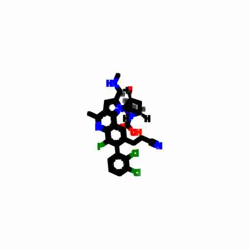 CN[C@H](C)c1cc2c(C)nc3c(F)c(-c4cccc(Cl)c4Cl)c(CCC#N)cc3c2n1[C@H]1[C@@H]2C[C@H]1N(C(=O)O)C2